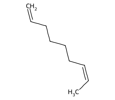 C=CCCCC/C=C\C